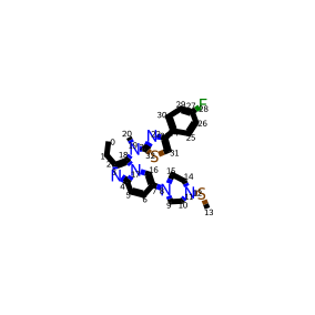 CCc1nc2ccc(N3CCN(SC)CC3)cn2c1N(C)c1nc(-c2ccc(F)cc2)cs1